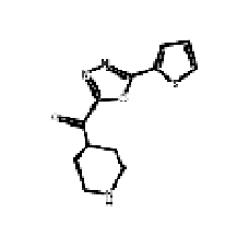 O=C(c1nnc(-c2cccs2)o1)C1CCNCC1